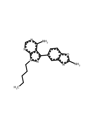 CCCCCn1nc(-c2ccc3oc(N)nc3c2)c2c(N)ncnc21